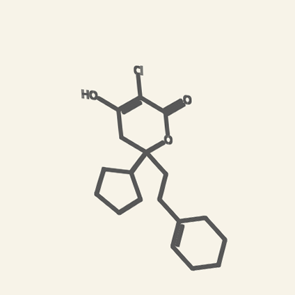 O=C1OC(CCC2=CCCCC2)(C2CCCC2)CC(O)=C1Cl